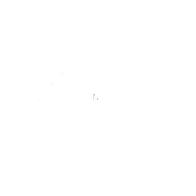 c1cc(-c2cccc3ccccc23)cc(-n2c3ccc4c(c3c3ccc5ccccc5c32)C2(c3ccccc3-4)C3CC4CC(C3)CC2C4)c1